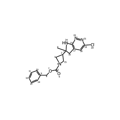 CC1(C2CN(C(=O)OCc3ccccc3)C2)Cc2cc(Cl)nnc2N1